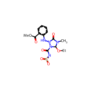 CCOC1N(C)C(=O)N(Nc2ccccc2C(=O)OC)N1C(=O)N=S(=O)=O